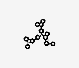 c1ccc(-c2cccc3c2oc2c4ccccc4c(N(c4ccc(-c5ccc6c(c5)c5ccccc5n6-c5ccccc5)cc4)c4ccc(-c5cc6ccccc6c6ccccc56)cc4)cc32)cc1